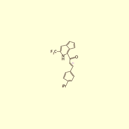 CC(C)c1ccc(/C=C/C(=O)c2[nH]c(C(F)(F)F)cc3cccc2-3)cc1